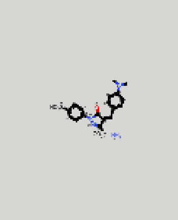 CN(C)c1ccc(/C=C2\C(=O)N(c3ccc(S(=O)(=O)O)cc3)N=C2C(=O)O)cc1.N